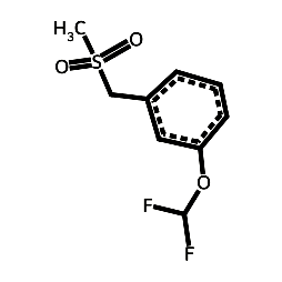 CS(=O)(=O)Cc1cccc(OC(F)F)c1